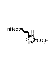 CCCCCCCCC=CC(=O)N[C@H](C(=O)O)C(C)C